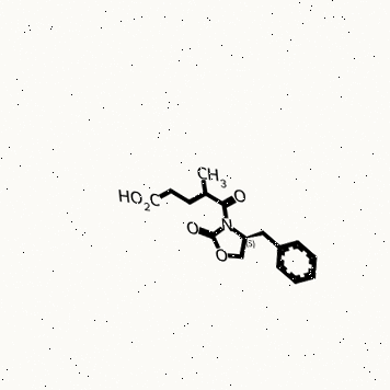 CC(CCC(=O)O)C(=O)N1C(=O)OC[C@@H]1Cc1ccccc1